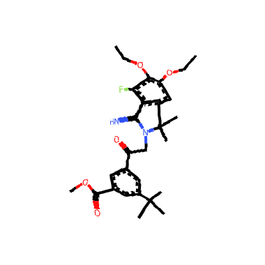 CCOc1cc2c(c(F)c1OCC)C(=N)N(CC(=O)c1cc(C(=O)OC)cc(C(C)(C)C)c1)C2(C)C